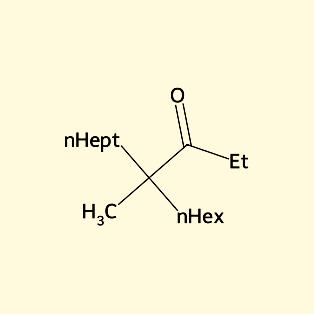 CCCCCCCC(C)(CCCCCC)C(=O)CC